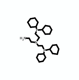 NCCN(CCP(C1CCCCC1)C1CCCCC1)CCP(C1CCCCC1)C1CCCCC1